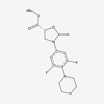 CCCCOC(=O)[C@H]1CN(c2cc(F)c(N3CCOCC3)c(F)c2)C(=O)O1